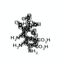 NCCCCN(CC(=O)N(CCC(=O)O)CC(=O)N(CCC(=O)O)CC(N)=O)C(=O)CN(CCCCN)C(=O)CN(CCCCN)C(=O)CN(CCCCN)C(=O)CN(CCc1ccc(Cl)cc1Cl)C(=O)CN(CCc1ccc(Cl)cc1Cl)C(=O)CN(CCc1ccc(Cl)cc1Cl)C(=O)CNCCc1ccc(Cl)cc1Cl